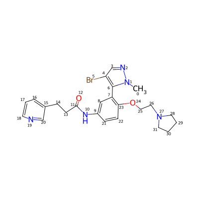 Cn1ncc(Br)c1-c1cc(NC(=O)CCc2cccnc2)ccc1OCCN1CCCC1